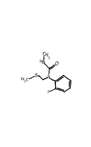 CNC(=O)N(CSC)c1ccccc1F